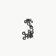 CC1=CC(N2CCC(CC3CCN(C(=O)[C@](O)(c4cc(Cl)cc(Cl)c4)C(F)F)CC3)CC2)CCC1C(N)=O